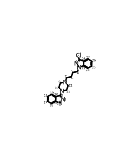 Clc1nn(CCCCN2CCN(c3nsc4ccccc34)CC2)c2ccccc12